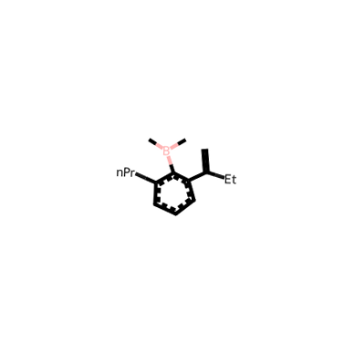 C=C(CC)c1cccc(CCC)c1B(C)C